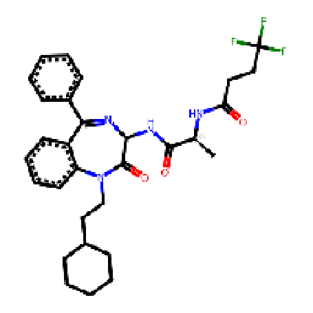 C[C@H](NC(=O)CCC(F)(F)F)C(=O)NC1N=C(c2ccccc2)c2ccccc2N(CCC2CCCCC2)C1=O